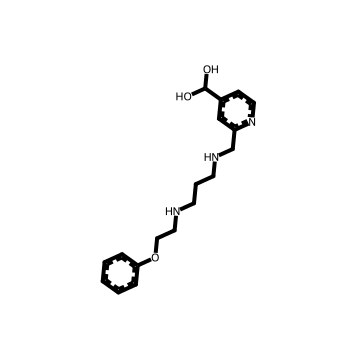 OC(O)c1ccnc(CNCCCNCCOc2ccccc2)c1